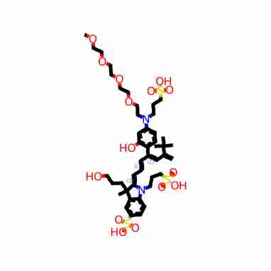 C=C(/C=C(/C=C/C=C1\N(CCCS(=O)(=O)O)c2ccc(S(=O)(=O)O)cc2C1(C)CCCO)c1ccc(N(CCCS(=O)(=O)O)CCOCCOCCOCCOC)cc1O)C(C)(C)C